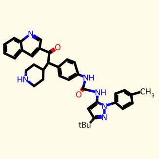 Cc1ccc(-n2nc(C(C)(C)C)cc2NC(=O)Nc2ccc(C(C(=O)c3cnc4ccccc4c3)C3CCNCC3)cc2)cc1